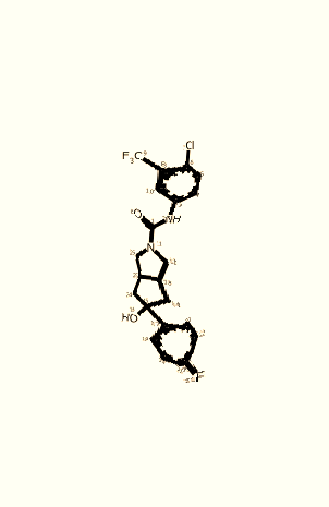 O=C(Nc1ccc(Cl)c(C(F)(F)F)c1)N1CC2CC(O)(c3ccc(F)cc3)CC2C1